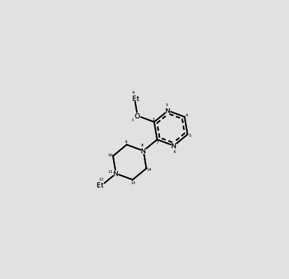 CCOc1nccnc1N1CCN(CC)CC1